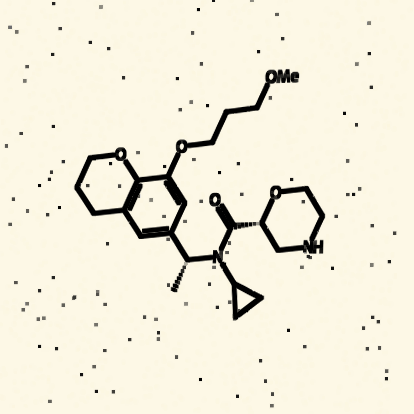 COCCCOc1cc([C@@H](C)N(C(=O)[C@H]2CNCCO2)C2CC2)cc2c1OCCC2